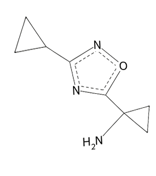 NC1(c2nc(C3CC3)no2)CC1